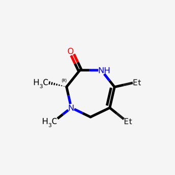 CCC1=C(CC)NC(=O)[C@@H](C)N(C)C1